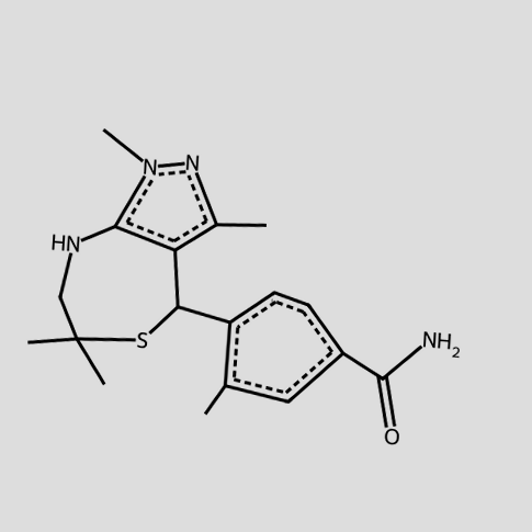 Cc1cc(C(N)=O)ccc1C1SC(C)(C)CNc2c1c(C)nn2C